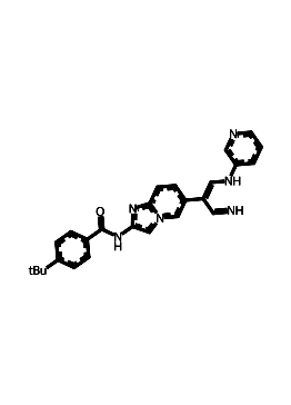 CC(C)(C)c1ccc(C(=O)Nc2cn3cc(/C(C=N)=C/Nc4cccnc4)ccc3n2)cc1